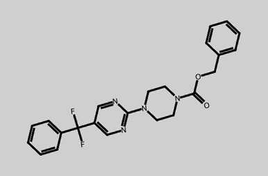 O=C(OCc1ccccc1)N1CCN(c2ncc(C(F)(F)c3ccccc3)cn2)CC1